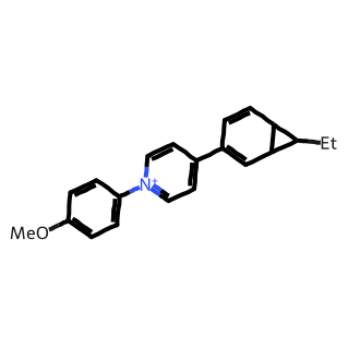 CCC1C2C=CC(c3cc[n+](-c4ccc(OC)cc4)cc3)=CC21